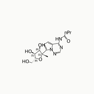 CCCC(=O)Nc1ncnn2c([C@]3(C)O[C@H](CO)[C@@H](O)[C@H]3O)ccc12